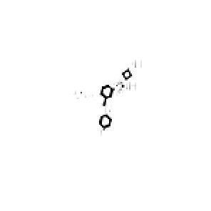 COc1ccc(S(=O)(=O)NC2CC(O)C2)cc1C(=O)Nc1ccc(F)cc1